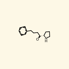 O=C(CCCc1ccccc1)[C@@H]1CCCN1